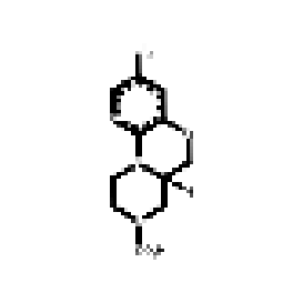 O=C(O)N1CCN2c3ncc(C(F)(F)F)cc3OC[C@@H]2C1